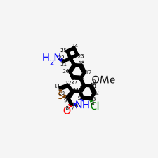 COc1cc(Cl)c2[nH]c(=O)c3sccc3c2c1-c1ccc(C2(CN)CCC2)cc1